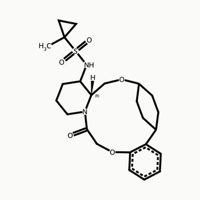 CC1(S(=O)(=O)NC2CCCN3C(=O)COc4ccccc4C4CCC(CC4)OC[C@@H]23)CC1